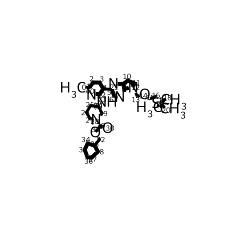 Cc1ccc(-c2cnc3c(ccn3COCC[Si](C)(C)C)n2)c(N[C@H]2CCCN(C(=O)OCc3ccccc3)C2)n1